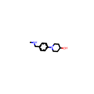 CNCc1ccc(N2CCC(O)CC2)cc1